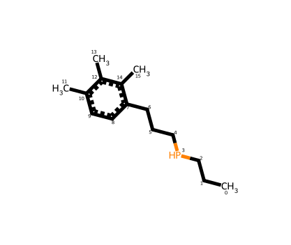 CCCPCCCc1ccc(C)c(C)c1C